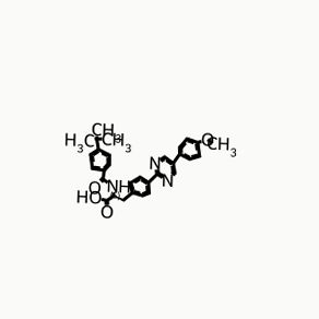 COc1ccc(-c2cnc(-c3ccc(C[C@H](NC(=O)c4ccc(C(C)(C)C)cc4)C(=O)O)cc3)nc2)cc1